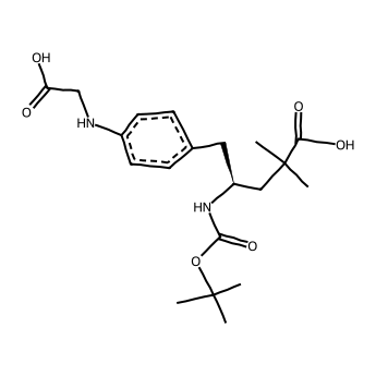 CC(C)(C)OC(=O)N[C@@H](Cc1ccc(NCC(=O)O)cc1)CC(C)(C)C(=O)O